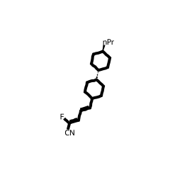 CCC[C@H]1CC[C@H](C2CCC(/C=C/C=C(\F)C#N)CC2)CC1